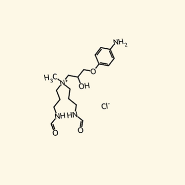 C[N+](CCCNC=O)(CCCNC=O)CC(O)COc1ccc(N)cc1.[Cl-]